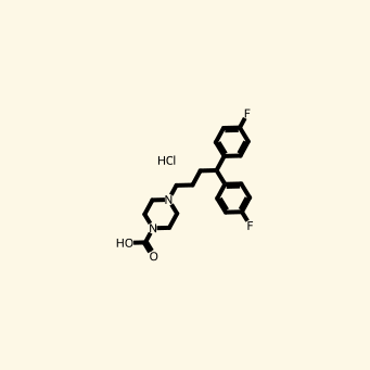 Cl.O=C(O)N1CCN(CCCC(c2ccc(F)cc2)c2ccc(F)cc2)CC1